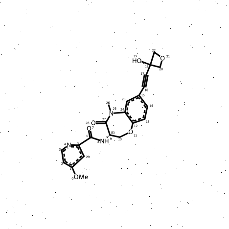 COc1ccnc(C(=O)N[C@H]2COc3ccc(C#CC4(O)COC4)cc3N(C)C2=O)c1